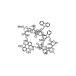 CSCC[C@H](NC(=O)[C@H](CC(C)C)NC(=O)[C@H](C)NC(=O)[C@H](CC(C)C)NC(=O)OCC1c2ccccc2-c2ccccc21)C(=O)NCCNc1ccc(NCCNC(=O)[C@H](CCSC)NC(=O)[C@H](CC(C)C)NC(=O)[C@H](C)NC(=O)[C@H](CC(C)C)NC(=O)OCC2c3ccccc3-c3ccccc32)c2c1C(=O)c1c(O)ccc(O)c1C2=O